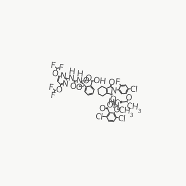 C#CC(C)Oc1cc(N2C(=O)C3=C(CCCC3)C2=O)c(F)cc1Cl.COc1c(Cl)ccc(Cl)c1C(=O)O.O=C(Nc1nc(OC(F)F)cc(OC(F)F)n1)NS(=O)(=O)c1ccccc1C(=O)O